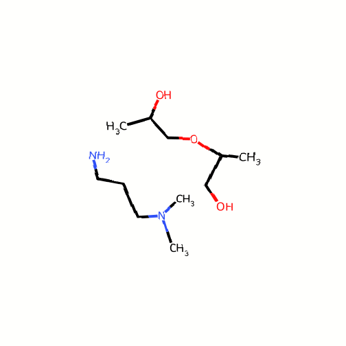 CC(O)COC(C)CO.CN(C)CCCN